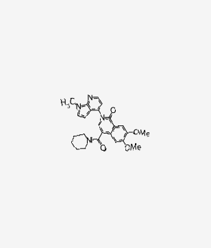 COc1cc2c(C(=O)N3CCCCC3)cn(-c3ccnc4c3ccn4C)c(=O)c2cc1OC